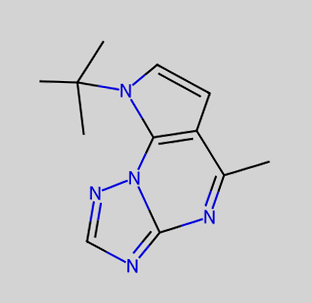 Cc1nc2ncnn2c2c1ccn2C(C)(C)C